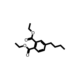 CCCCc1ccc(C(=O)OCC)c(C(=O)OCC)c1